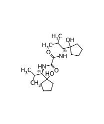 CC(C)[C@@H](NC(=O)C(=O)N[C@H](C(C)C)C1(O)CCCC1)C1(O)CCCC1